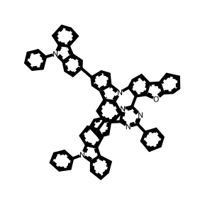 c1ccc(-c2nc(-c3ccccc3)nc(-c3c(-n4c5ccc(-c6ccc7c(c6)c6ccccc6n7-c6ccccc6)cc5c5cc(-c6ccc7c(c6)c6ccccc6n7-c6ccccc6)ccc54)ccc4c3oc3ccccc34)n2)cc1